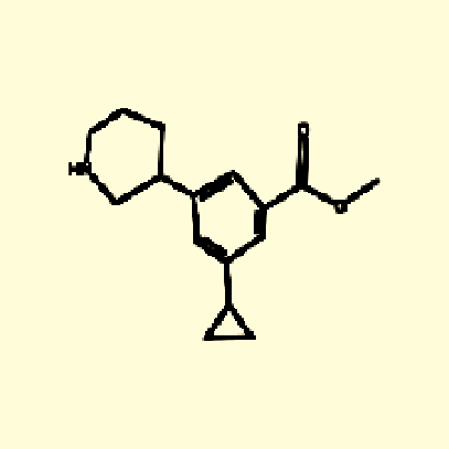 COC(=O)c1cc(C2CC2)cc(C2CCCNC2)c1